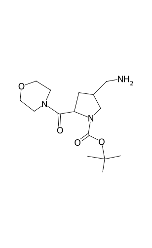 CC(C)(C)OC(=O)N1CC(CN)CC1C(=O)N1CCOCC1